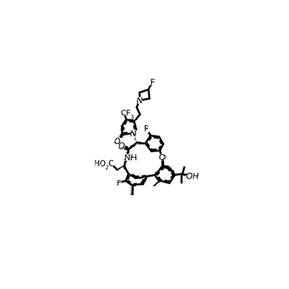 Cc1cc2cc(c1F)[C@@H](CC(=O)O)NC(=O)[C@H](n1cc(CCN3CC(F)C3)c(C(F)(F)F)cc1=O)c1cc(ccc1F)Oc1cc(C(C)(C)O)cc(C)c1-2